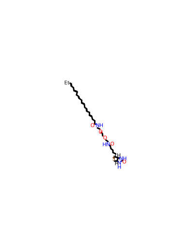 CCC=CCC=CCC=CCC=CCC=CCC=CCCC(=O)NCCOCCOCCNC(=O)CCCC[C@@H]1SC[C@@H]2NC(=O)N[C@@H]21